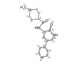 CN1CCC(C(=O)Nc2cc(-c3ccncc3)c[nH]c2=O)CC1